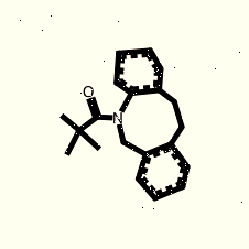 CC(C)(C)C(=O)N1Cc2ccccc2CCc2ccccc21